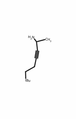 CC(N)C#CCCC(C)(C)C